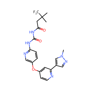 Cn1cc(-c2cc(Oc3ccc(NC(=O)NC(=O)CC(C)(C)C(F)(F)F)nc3)ccn2)cn1